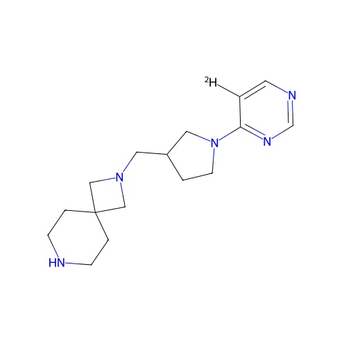 [2H]c1cncnc1N1CCC(CN2CC3(CCNCC3)C2)C1